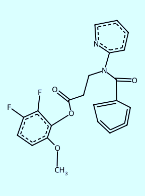 COc1ccc(F)c(F)c1OC(=O)CCN(C(=O)C1=CC=C=C=C1)c1ccccn1